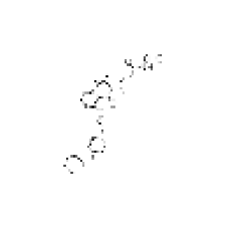 Cc1nc2cccc(OCCc3ccc(CN4CCCCC4)cc3)c2c(=O)n1C(C)CCC(=O)NC=O